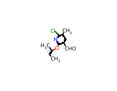 C/C=C(/C)Oc1nc(Cl)c(C)cc1C=O